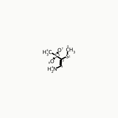 CSC(=CN)S(C)(=O)=O